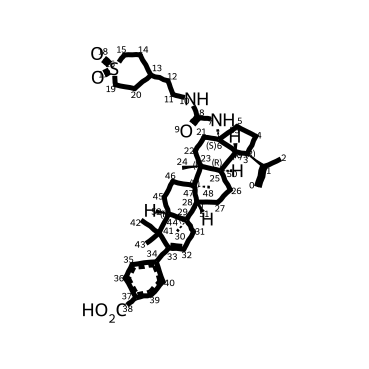 C=C(C)[C@@H]1CC[C@]2(NC(=O)NCCC3CCS(=O)(=O)CC3)CC[C@]3(C)[C@H](CC[C@@H]4[C@@]5(C)CC=C(c6ccc(C(=O)O)cc6)C(C)(C)[C@@H]5CC[C@]43C)[C@@H]12